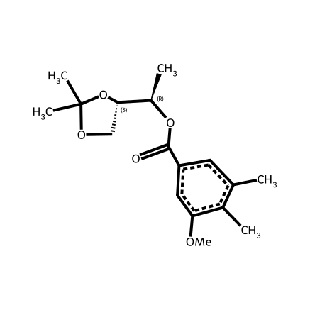 COc1cc(C(=O)O[C@H](C)[C@@H]2COC(C)(C)O2)cc(C)c1C